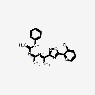 C=C(/N=C(N)\N=C(/N)c1noc(-c2ncccc2Cl)n1)Nc1ccccc1